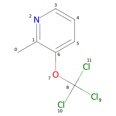 Cc1ncccc1OC(Cl)(Cl)Cl